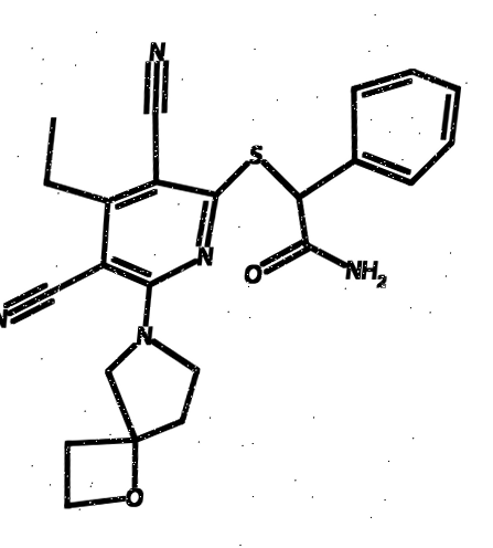 CCc1c(C#N)c(SC(C(N)=O)c2ccccc2)nc(N2CCC3(CCO3)C2)c1C#N